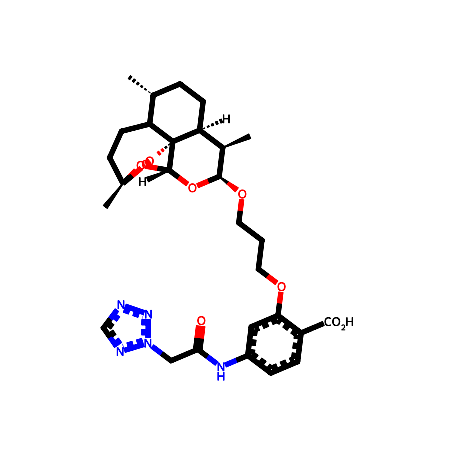 C[C@H]1[C@@H](OCCCOc2cc(NC(=O)Cn3ncnn3)ccc2C(=O)O)O[C@@H]2O[C@@]3(C)CCC4[C@H](C)CC[C@@H]1[C@]42OO3